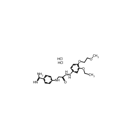 CCOc1cc(NNC(=O)CNc2ccc(C(=N)N)cc2)ccc1OCCOC.Cl.Cl